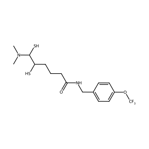 CN(C)C(S)C(S)CCCC(=O)NCc1ccc(OC(F)(F)F)cc1